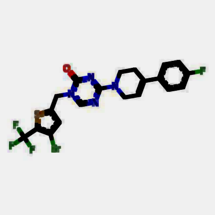 O=c1nc(N2CC=C(c3ccc(F)cc3)CC2)ncn1Cc1cc(Br)c(C(F)(F)F)s1